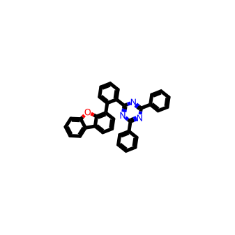 c1ccc(-c2nc(-c3ccccc3)nc(-c3ccccc3-c3cccc4c3oc3ccccc34)n2)cc1